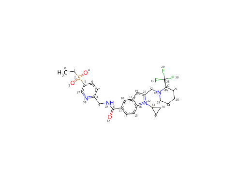 CCS(=O)(=O)c1ccc(CNC(=O)c2ccc3c(c2)cc(CN2CCCC[C@@H]2C(F)(F)F)n3C2CC2)nc1